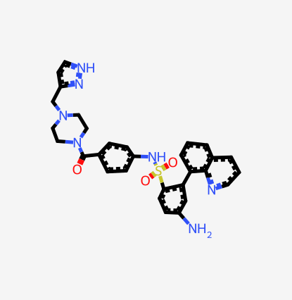 Nc1ccc(S(=O)(=O)Nc2ccc(C(=O)N3CCN(Cc4cc[nH]n4)CC3)cc2)c(-c2cccc3cccnc23)c1